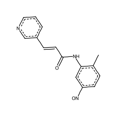 Cc1ccc(N=O)cc1NC(=O)/C=C/c1cccnc1